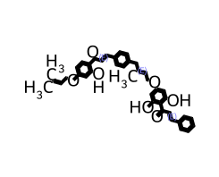 CC(C)=CCOc1ccc(C(=O)/C=C/c2ccc(C/C(C)=C/COc3cc(O)c(C(=O)/C=C/c4ccccc4)c(O)c3)cc2)c(O)c1